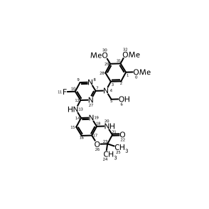 COc1cc(N(CO)c2ncc(F)c(Nc3ccc4c(n3)NC(=O)C(C)(C)O4)n2)cc(OC)c1OC